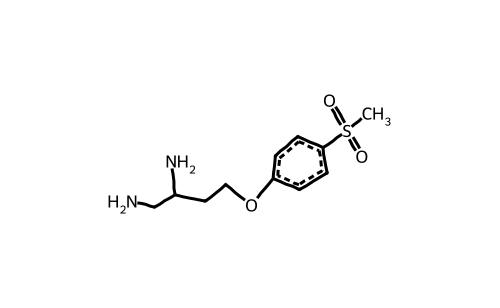 CS(=O)(=O)c1ccc(OCCC(N)CN)cc1